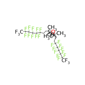 C[Si](C)(CCC(F)(F)C(F)(F)C(F)(F)C(F)(F)C(F)(F)C(F)(F)F)O[Si](C)(C)CCC(F)(F)C(F)(F)C(F)(F)C(F)(F)C(F)(F)C(F)(F)F